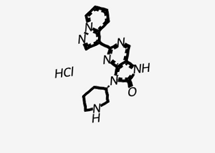 Cl.O=c1[nH]c2cnc(-c3cnn4ccccc34)nc2n1[C@H]1CCCNC1